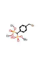 CCOP(=O)(OCC)C(c1ccc(CBr)cc1)P(=O)(O)OC(C)CC